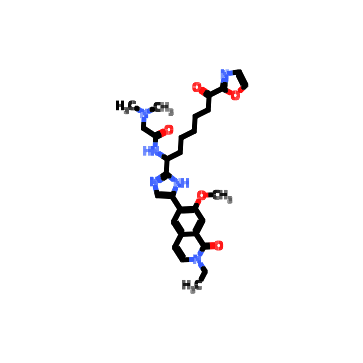 CCn1ccc2cc(-c3cnc(C(CCCCCC(=O)c4ncco4)NC(=O)CN(C)C)[nH]3)c(OC)cc2c1=O